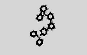 c1ccc(N(c2ccccc2)c2ccc(-c3cccc(-c4cccc(-n5c6ccccc6c6ccccc65)c4)c3)cc2)cc1